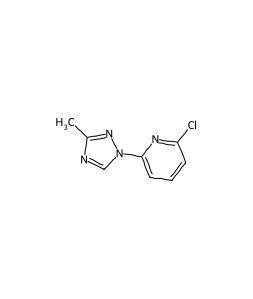 Cc1ncn(-c2cccc(Cl)n2)n1